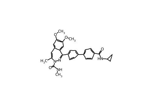 CNC(=O)N1N=C(c2ccc(-c3ccc(C(=O)NC4CC4)cc3)cc2)c2cc(OC)c(OC)cc2C=C1C